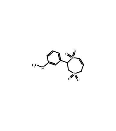 O=S1(=O)CC=CS(=O)(=O)C(c2cccc(OC(F)(F)F)c2)C1